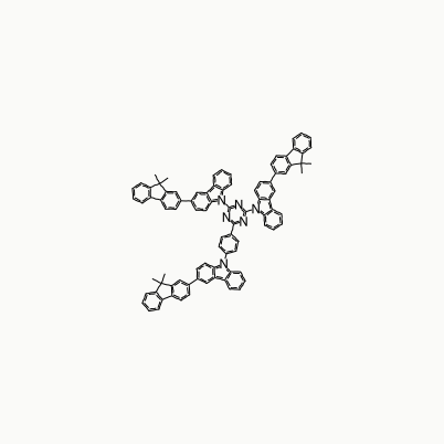 CC1(C)c2ccccc2-c2ccc(-c3ccc4c(c3)c3ccccc3n4-c3ccc(-c4nc(-n5c6ccccc6c6cc(-c7ccc8c(c7)C(C)(C)c7ccccc7-8)ccc65)nc(-n5c6ccccc6c6cc(-c7ccc8c(c7)C(C)(C)c7ccccc7-8)ccc65)n4)cc3)cc21